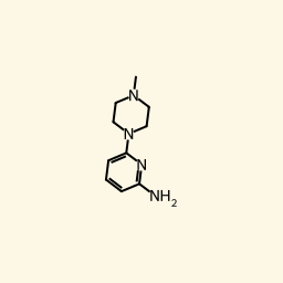 CN1CCN(c2cccc(N)n2)CC1